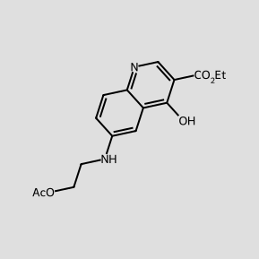 CCOC(=O)c1cnc2ccc(NCCOC(C)=O)cc2c1O